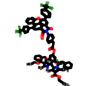 CCOC(=O)C1=C(C)/C(=C(\c2c(OCC3CCCCC3)cc(OC(=O)Cc3ccc(-n4c(=O)c5cc(-c6ccc(C(F)(F)F)cc6)c6oc7ccccc7c7c(-c8ccc(C(F)(F)F)cc8)cc(c4=O)c5c67)cc3)cc2OCC2CCCCC2)c2c(C)c(C(=O)OCC)c(C)n2B(F)F)N=C1C